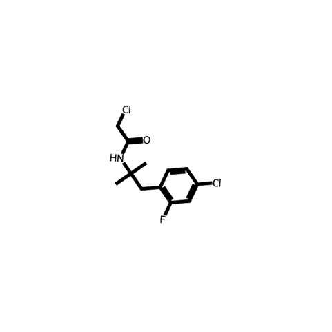 CC(C)(Cc1ccc(Cl)cc1F)NC(=O)CCl